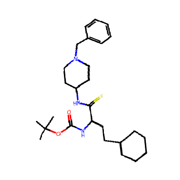 CC(C)(C)OC(=O)NC(CCC1CCCCC1)C(=S)NC1CCN(Cc2ccccc2)CC1